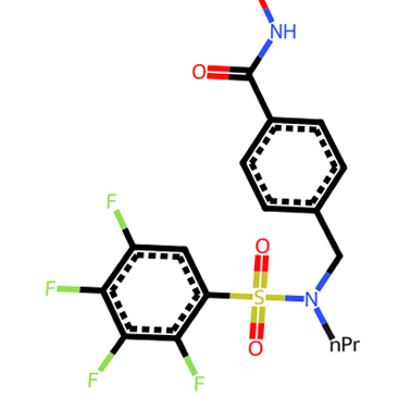 CCCN(Cc1ccc(C(=O)NO)cc1)S(=O)(=O)c1cc(F)c(F)c(F)c1F